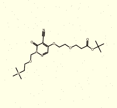 CC(C)(C)OC(=O)CCOCCOc1cnn(COCC[Si](C)(C)C)c(=O)c1C#N